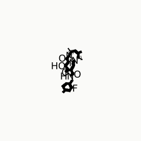 CC1=C[C@H](C)N2CN([C@@H]1C)n1cc(C(=O)NCc3ccc(C)cc3F)c(=O)c(O)c1C2=O